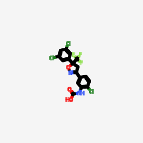 O=C(O)Nc1cc(C2=NOC(c3cc(Cl)cc(Cl)c3)(C(F)(F)F)C2)ccc1Cl